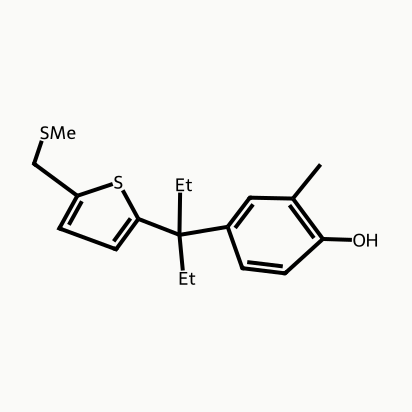 CCC(CC)(c1ccc(O)c(C)c1)c1ccc(CSC)s1